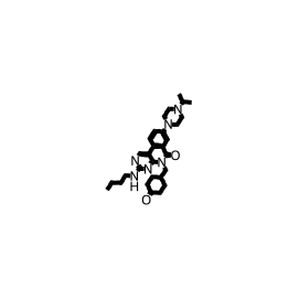 CCCCNc1ncc2c3ccc(N4CCN(C(C)C)CC4)cc3c(=O)n(CC3CCC(=O)CC3)c2n1